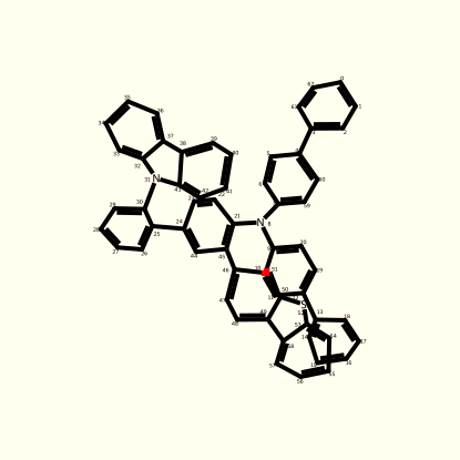 c1ccc(-c2ccc(N(c3ccc(-c4ccccc4)cc3)c3ccc(-c4ccccc4-n4c5ccccc5c5ccccc54)cc3-c3ccc4c(c3)sc3ccccc34)cc2)cc1